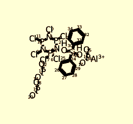 ClN1P(Cl)N=P(Cl)(Cl)N(Cl)P1Cl.O=P[O-].O=P[O-].O=P[O-].O[Si](O)(c1ccccc1)c1ccccc1.[Al+3]